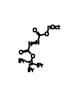 CCCCCCCCOC(=O)N=NC(=O)O[Si](C(C)C)(C(C)C)C(C)C